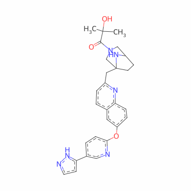 CC(C)(O)C(=O)N1CC2CCC(Cc3ccc4cc(Oc5ccc(-c6ccn[nH]6)cn5)ccc4n3)(C1)N2